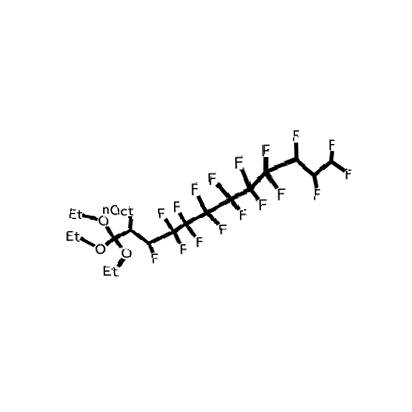 CCCCCCCCC(C(F)C(F)(F)C(F)(F)C(F)(F)C(F)(F)C(F)(F)C(F)(F)C(F)C(F)C(F)F)C(OCC)(OCC)OCC